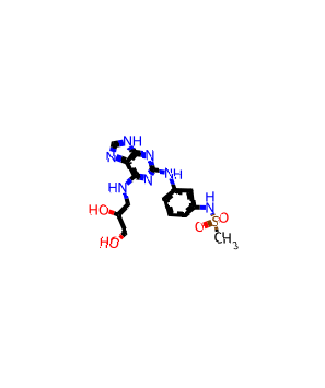 CS(=O)(=O)Nc1cccc(Nc2nc(NCC(O)CO)c3nc[nH]c3n2)c1